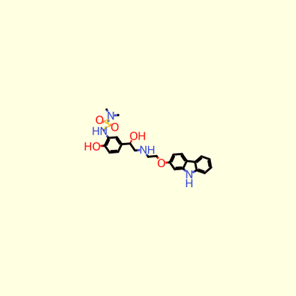 CN(C)S(=O)(=O)Nc1cc([C@@H](O)CNCCOc2ccc3c(c2)[nH]c2ccccc23)ccc1O